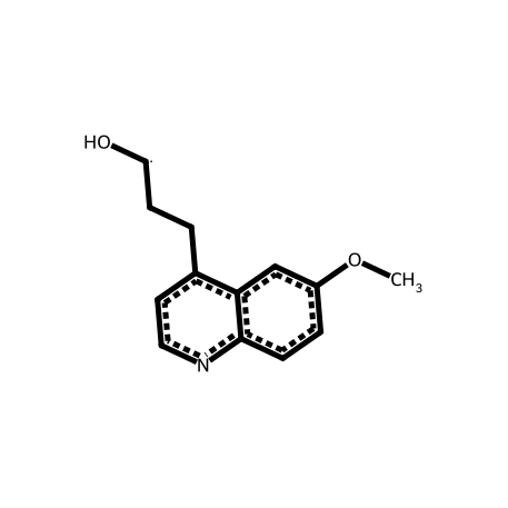 COc1ccc2nccc(CC[CH]O)c2c1